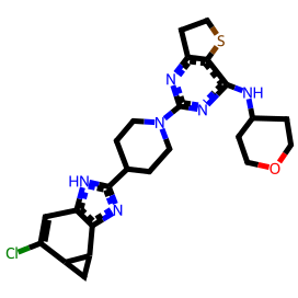 ClC1=Cc2[nH]c(C3CCN(c4nc5c(c(NC6CCOCC6)n4)SCC5)CC3)nc2C2CC12